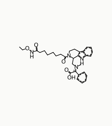 CCONC(=O)CCCCCCC(=O)N1CCc2c([nH]c3ccccc23)C1CN(C)[C@H](C(=O)O)c1ccccc1